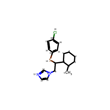 CC1CCCCC1C(Cn1ccnc1)Sc1ccc(Cl)cc1